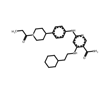 CCC(=O)N1CCC(c2ccc(Nc3cc(NCCC4CCCCC4)c(C(N)=O)cn3)cc2)CC1